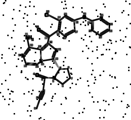 CC#CC(=O)N1CCC[C@H]1c1nc(C(=O)c2ccc(Oc3ccccn3)cc2Cl)c2c(N)nccn12